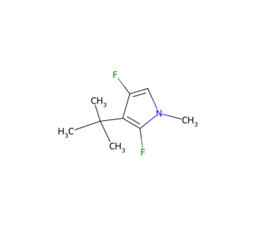 Cn1cc(F)c(C(C)(C)C)c1F